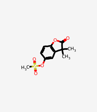 CC1(C)C(=O)Oc2ccc(OS(C)(=O)=O)cc21